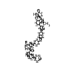 Cn1nc(N2CCC(=O)NC2=O)c2cccc(-c3cnn(C4CC5CN(CC6CCC(n7cc(NC(=O)c8cnn9ccc(N%10CCCOCC%10)nc89)c(C(F)F)n7)CC6)CC5C4)c3)c21